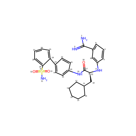 N=C(N)c1cccc(N[C@@H](CC2CCCCC2)C(=O)Nc2ccc(-c3ccccc3S(N)(=O)=O)cc2)c1